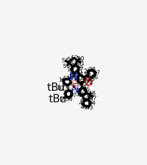 CC(C)(C)c1ccc(N2B3c4cc(C(C)(C)C)ccc4-n4c5cc6c(cc5c5c7c(oc8ccccc87)c(c3c54)-c3cc4c(cc32)-c2ccccc2C4(C)C)C(C)(C)CCC6(C)C)cc1